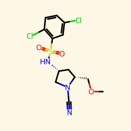 COC[C@H]1C[C@@H](NS(=O)(=O)c2cc(Cl)ccc2Cl)CN1C#N